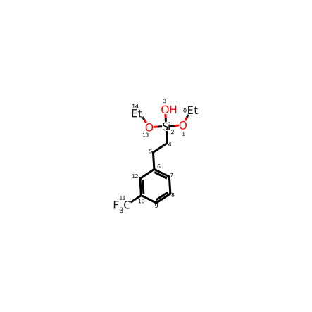 CCO[Si](O)(CCc1cccc(C(F)(F)F)c1)OCC